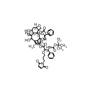 CC(=O)O[C@@]12CO[C@@H]1C[C@H](O)[C@@]1(C)C(=O)[C@H](O)C3=C(C)[C@@H](OC(=O)[C@H](OCCCN4C(=O)C=CC4=O)[C@@H](NC(=O)OC(C)(C)C)c4ccccc4)C[C@@](O)([C@@H](OC(=O)c4ccccc4)[C@H]21)C3(C)C